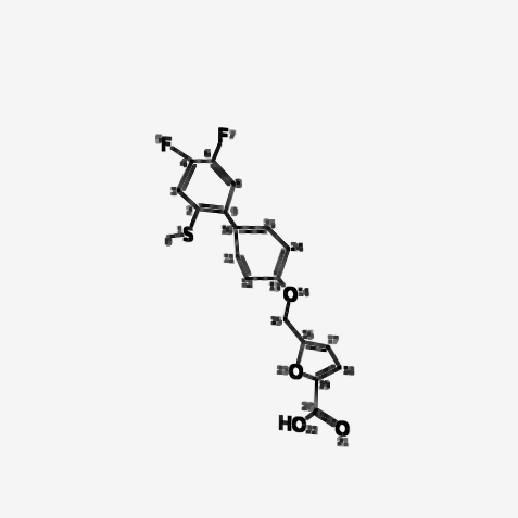 CSc1cc(F)c(F)cc1-c1ccc(OCc2ccc(C(=O)O)o2)cc1